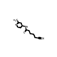 C#CCCCCC(=O)Nc1ccnc(C)c1